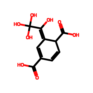 O=C(O)C1=CC(=C(O)C(O)(O)O)C(C(=O)O)C=C1